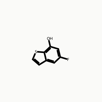 Oc1cc(F)cc2ccsc12